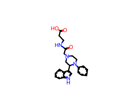 O=C(O)CCNC(=O)CN1CCN(c2ccccc2)C(c2c[nH]c3ccccc23)C1